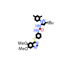 COc1cc2ncnc(Sc3cccc(NC(=O)Nc4cc(C(C)(C)C)nn4-c4ccc(C)cc4C)c3)c2cc1OC